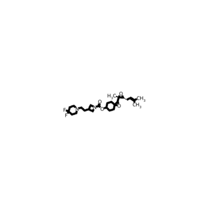 CC(C)=CC[C@H]1O[C@@]1(C)C1OC12CCC(OC(=O)N1CC(CCN3CCC(F)(F)CC3)C1)CC2